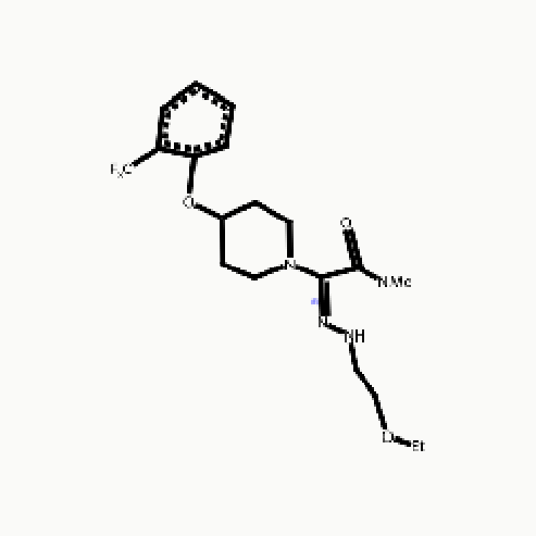 CCOCCN/N=C(\C(=O)NC)N1CCC(Oc2ccccc2C(F)(F)F)CC1